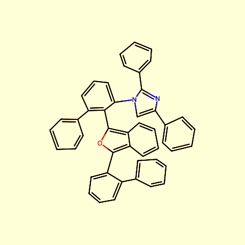 c1ccc(-c2cn(-c3cccc(-c4ccccc4)c3-c3oc(-c4ccccc4-c4ccccc4)c4ccccc34)c(-c3ccccc3)n2)cc1